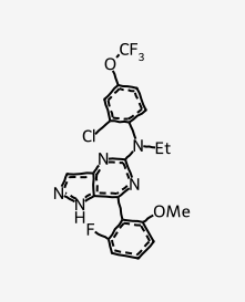 CCN(c1nc(-c2c(F)cccc2OC)c2[nH]ncc2n1)c1ccc(OC(F)(F)F)cc1Cl